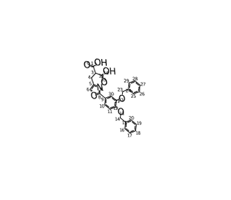 O=C(O)C(Cc1coc(-c2ccc(OCc3ccccc3)c(OCc3ccccc3)c2)n1)C(=O)O